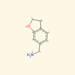 NCc1ccc2c(c1)OCC2